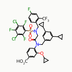 O=C(O)c1ccc(N(Cc2cc(C3CC3)cc(C3CC3)c2)C(=O)CN(Cc2ccc(F)cc2C(F)(F)F)S(=O)(=O)c2c(F)c(Cl)c(F)c(Cl)c2F)c(OC2CC2)c1